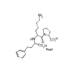 NCCCCC(NC(CCc1ccccc1)C(=O)O)C(=O)N1CCC[C@H]1C(=O)O.[NaH]